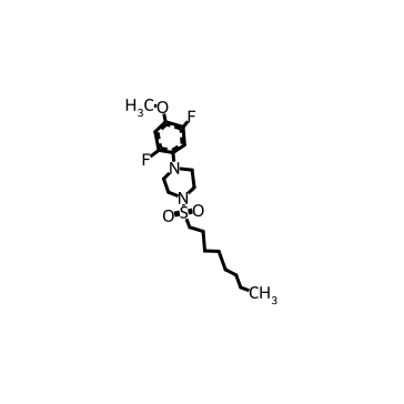 CCCCCCCCS(=O)(=O)N1CCN(c2cc(F)c(OC)cc2F)CC1